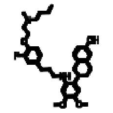 CCCCN(C)CCOc1ccc(CCCNc2cc(OC)c(OC)cc2C2CCc3cc(O)ccc3C2)cc1F